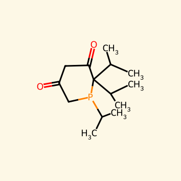 CC(C)P1CC(=O)CC(=O)C1(C(C)C)C(C)C